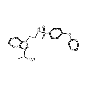 CC(C(=O)O)n1cc(CCNS(=O)(=O)c2ccc(Oc3ccccc3)cc2)c2ccccc21